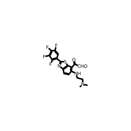 CN(C)CCNc1ccc2nc(-c3cc(F)c(F)c(F)c3F)sc2c1C(=O)C=O